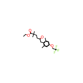 CCOC(=O)C(C)(C)CCC(=O)Cc1c(C)cc(OCC(F)(F)F)cc1C